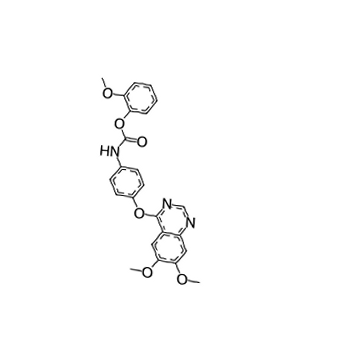 COc1cc2ncnc(Oc3ccc(NC(=O)Oc4ccccc4OC)cc3)c2cc1OC